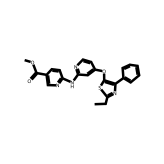 CCc1nc(-c2ccccc2)c(Oc2ccnc(Nc3ccc(C(=O)OC)cn3)c2)s1